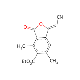 CCOC(=O)c1c(C)cc2c(c1C)C(=O)OC2=CC#N